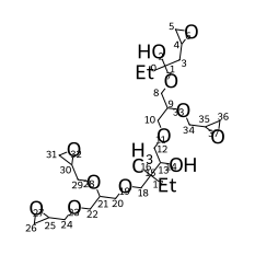 CCC(O)(CC1CO1)OCC(COCC(O)C(C)(CC)COCC(COCC1CO1)OCC1CO1)OCC1CO1